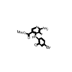 COC(=O)c1cnc(N)c(F)c1Nc1ccc(Br)cc1Cl